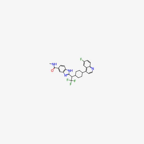 CNC(=O)c1ccc2[nH]c(C(C3CCC(c4ccnc5ccc(F)cc45)CC3)C(F)(F)F)nc2c1